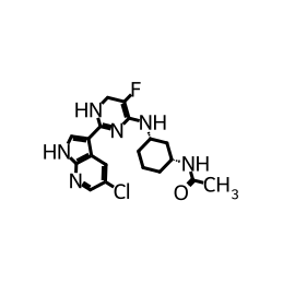 CC(=O)N[C@@H]1CCC[C@H](NC2=C(F)CNC(c3c[nH]c4ncc(Cl)cc34)=N2)C1